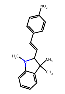 CN1c2ccccc2C(C)(C)C1/C=C/c1ccc([N+](=O)[O-])cc1